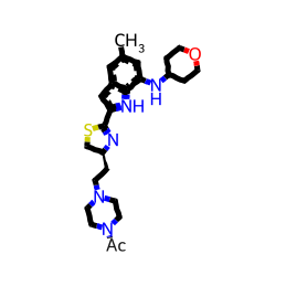 CC(=O)N1CCN(CC[C@H]2CSC(c3cc4cc(C)cc(NC5CCOCC5)c4[nH]3)=N2)CC1